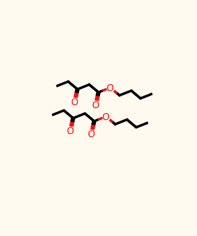 CCCCOC(=O)CC(=O)CC.CCCCOC(=O)CC(=O)CC